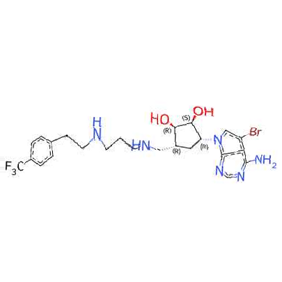 Nc1ncnc2c1c(Br)cn2[C@@H]1C[C@H](CNCCCNCCc2ccc(C(F)(F)F)cc2)[C@@H](O)[C@H]1O